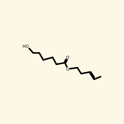 CC=CCCOC(=O)CCCCCO